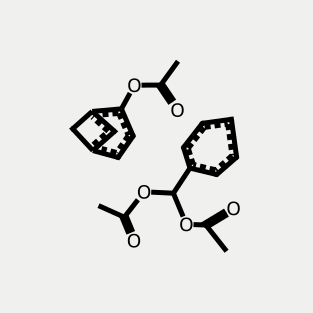 CC(=O)OC(OC(C)=O)c1ccccc1.CC(=O)Oc1ccc2cc1C2